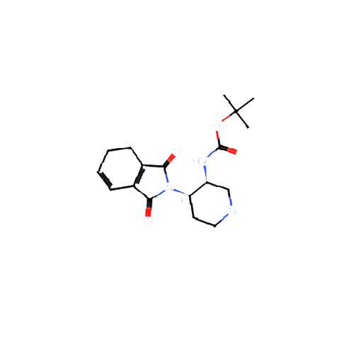 CC(C)(C)OC(=O)N[C@H]1CNCC[C@H]1N1C(=O)C2=C(CCC=C2)C1=O